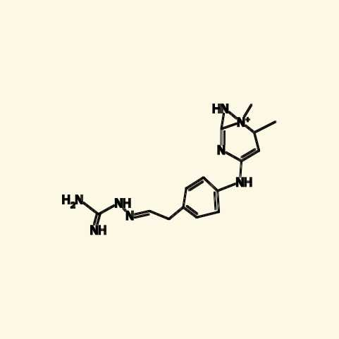 CC1C=C(Nc2ccc(CC=NNC(=N)N)cc2)N=C2N[N+]21C